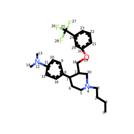 CCCCN1CCC(c2ccc(N(C)C)cc2)C(COc2cccc(C(F)(F)F)c2)C1